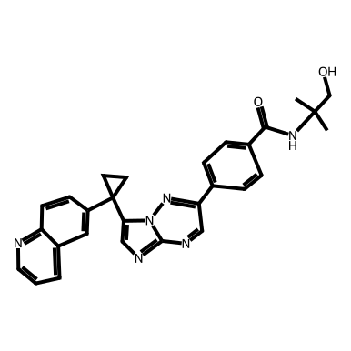 CC(C)(CO)NC(=O)c1ccc(-c2cnc3ncc(C4(c5ccc6ncccc6c5)CC4)n3n2)cc1